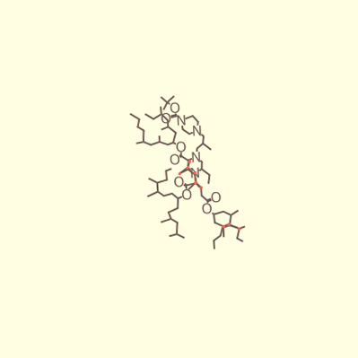 CCCCC(C)CC(C)CC(CC(C)CC(C)CC)OC(=O)CC(C)N(C(C)CCC(=O)OC(CC(C)CC(C)CC)CC(C)C(C)CCCC)C(CC)CN(CC(C)CC(C)C(=O)OC(CCC(C)CC(C)C)CCC(C)C(C)CCC)CC(C)CN1CCN(C(=O)OC(C)(C)C)CC1